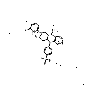 COc1ccncc1N(c1ccc(C(F)(F)F)cc1)C1CCN(c2cccc(=O)n2C)CC1